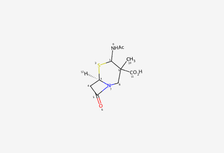 CC(=O)NC1S[C@@H]2CC(=O)N2CC1(C)C(=O)O